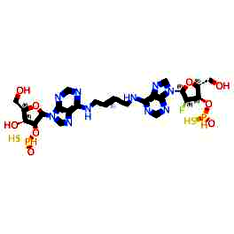 O=[PH](S)OC1C(n2cnc3c(NC/C=C/CNc4ncnc5c4ncn5[C@@H]4O[C@H](CO)[C@@H](O[PH](=O)S)[C@H]4F)ncnc32)O[C@H](CO)[C@H]1O